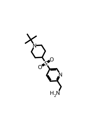 CC(C)(C)N1CCC(S(=O)(=O)c2ccc(CN)nc2)CC1